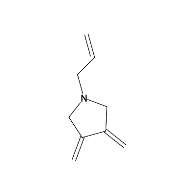 C=CCN1CC(=C)C(=C)C1